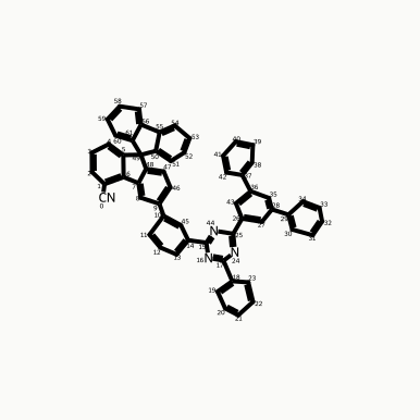 N#Cc1cccc2c1-c1cc(-c3cccc(-c4nc(-c5ccccc5)nc(-c5cc(-c6ccccc6)cc(-c6ccccc6)c5)n4)c3)ccc1C21c2ccccc2-c2ccccc21